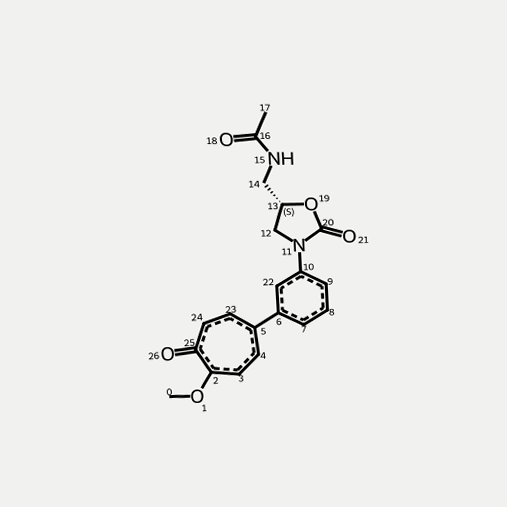 COc1ccc(-c2cccc(N3C[C@H](CNC(C)=O)OC3=O)c2)ccc1=O